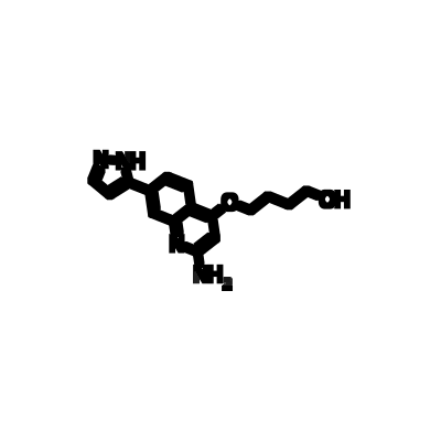 Nc1cc(OCCCCO)c2ccc(-c3ccn[nH]3)cc2n1